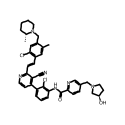 Cc1cc(/C=C/c2nccc(-c3cccc(NC(=O)c4ccc(CN5CC[C@@H](O)C5)cn4)c3Cl)c2C#N)c(Cl)cc1CN1CCCC[C@H]1C